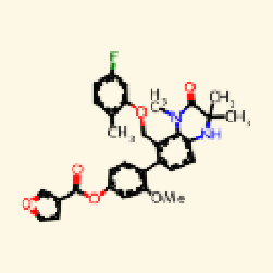 COc1cc(OC(=O)c2ccoc2)ccc1-c1ccc2c(c1COc1cc(F)ccc1C)N(C)C(=O)C(C)(C)N2